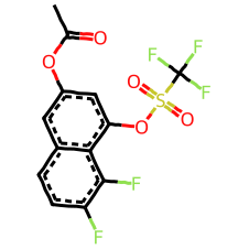 CC(=O)Oc1cc(OS(=O)(=O)C(F)(F)F)c2c(F)c(F)ccc2c1